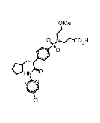 COCCN(CCC(=O)O)S(=O)(=O)c1ccc([C@@H](CC2CCCC2)C(=O)Nc2ncc(Cl)cn2)cc1